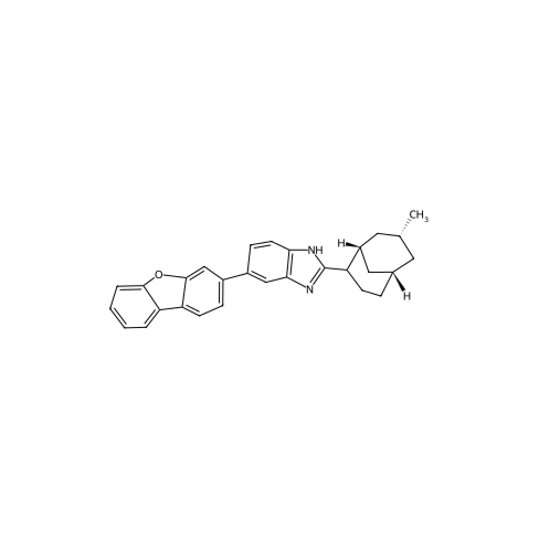 C[C@@H]1C[C@@H]2CCC(c3nc4cc(-c5ccc6c(c5)oc5ccccc56)ccc4[nH]3)[C@H](C1)C2